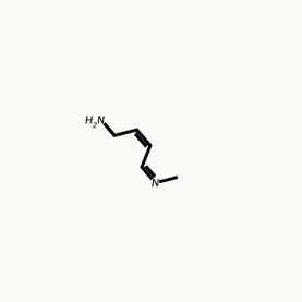 C/N=C\C=C/CN